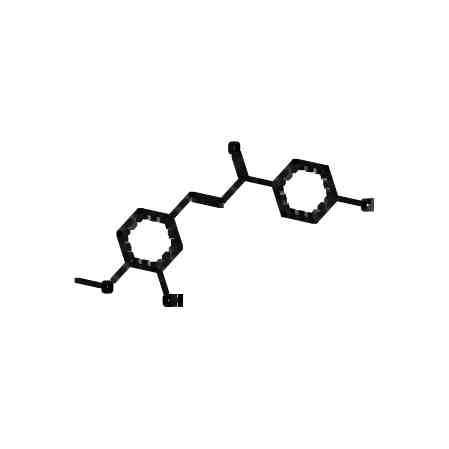 COc1ccc(/C=C/C(=O)c2ccc(Cl)cc2)cc1O